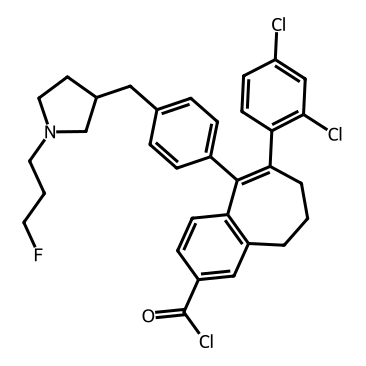 O=C(Cl)c1ccc2c(c1)CCCC(c1ccc(Cl)cc1Cl)=C2c1ccc(CC2CCN(CCCF)C2)cc1